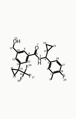 Cc1cc(C(NC(=O)c2cc(CO)cc(C3(C(F)(F)F)CC3)c2)C2CC2)ccc1F